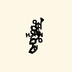 Cc1ccc(C(=O)NC2CC2)cc1-n1cnc(C(=O)c2cccc(-c3ccccn3)c2)c1N